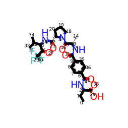 CCC(NC(=O)c1ccc(C(=O)N[C@@H](C)C(=O)N2CCC[C@H]2C(=O)NC(C(=O)C(F)(F)F)C(C)C)cc1)C(=O)O